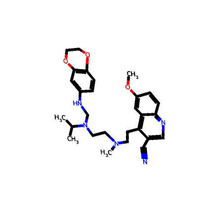 COc1ccc2ncc(C#N)c(CCN(C)CCN(CNc3ccc4c(c3)OCCO4)C(C)C)c2c1